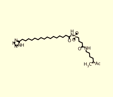 CC(=O)[C@@H](C)CCCCNC(=O)CCCS(=O)(=O)NC(=O)CCCCCCCCCCCCCCCc1nnn[nH]1